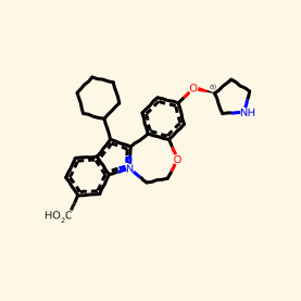 O=C(O)c1ccc2c(C3CCCCC3)c3n(c2c1)CCOc1cc(O[C@H]2CCNC2)ccc1-3